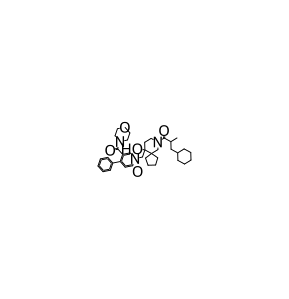 CC(CC1CCCCC1)C(=O)N1CC[C@@](O)(Cn2cc(C(=O)N3CCOCC3)c(-c3ccccc3)cc2=O)C2(CCCC2)C1